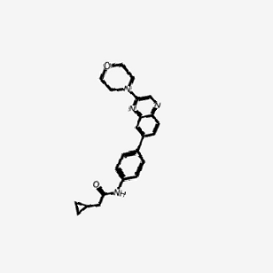 O=C(CC1CC1)Nc1ccc(-c2ccc3ncc(N4CCOCC4)nc3c2)cc1